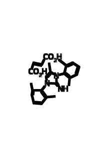 Cc1cccc(C)c1-n1cc(C)n(-c2c(C)cccc2C)c1=N.O=C(O)/C=C/C(=O)O